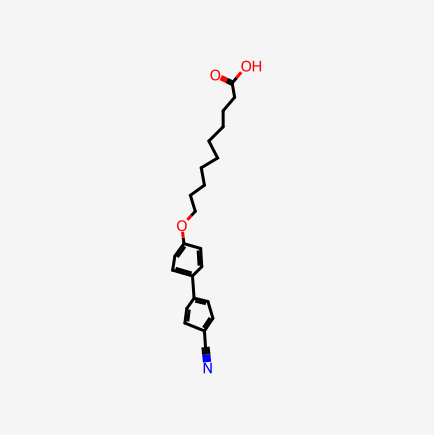 N#Cc1ccc(-c2ccc(OCCCCCCCCCC(=O)O)cc2)cc1